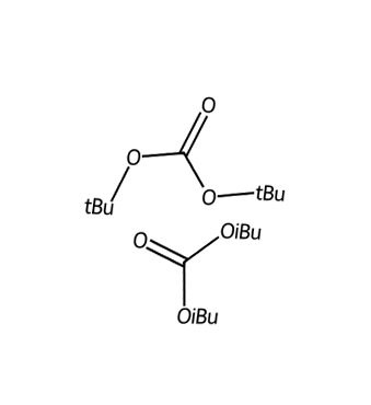 CC(C)(C)OC(=O)OC(C)(C)C.CC(C)COC(=O)OCC(C)C